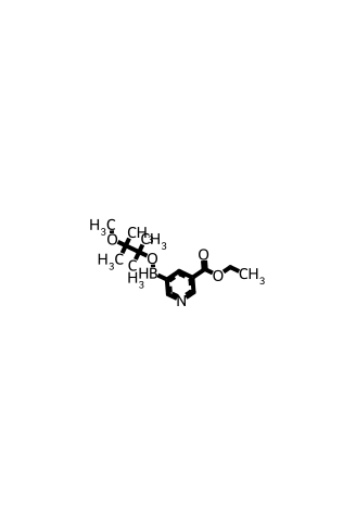 CCOC(=O)c1cncc(BOC(C)(C)C(C)(C)OC)c1